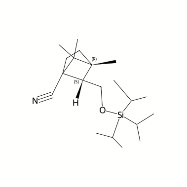 CC(C)[Si](OC[C@@H]1C2(C#N)CC[C@@]1(C)C2(C)C)(C(C)C)C(C)C